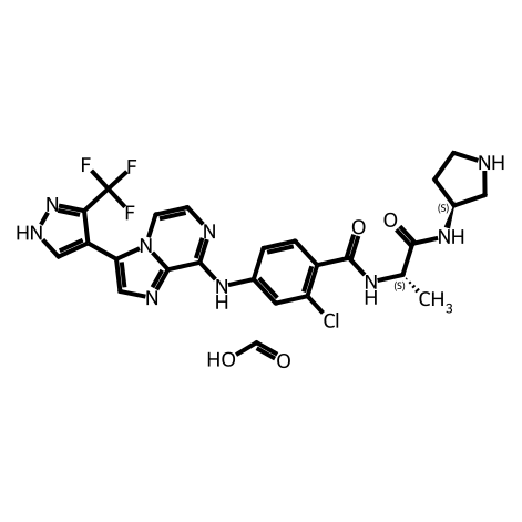 C[C@H](NC(=O)c1ccc(Nc2nccn3c(-c4c[nH]nc4C(F)(F)F)cnc23)cc1Cl)C(=O)N[C@H]1CCNC1.O=CO